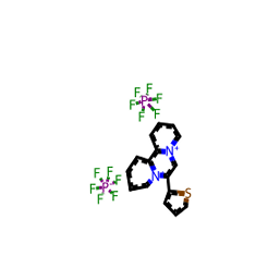 F[P-](F)(F)(F)(F)F.F[P-](F)(F)(F)(F)F.c1csc(-c2c[n+]3ccccc3c3cccc[n+]23)c1